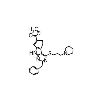 COC(=O)c1ccc2c(c1)[nH]c1nc(Cc3ccccc3)nc(SCCCN3CCCCC3)c12